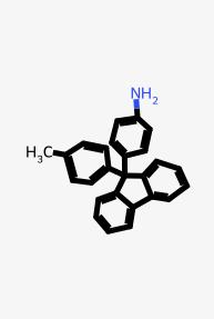 Cc1ccc(C2(c3ccc(N)cc3)c3ccccc3-c3ccccc32)cc1